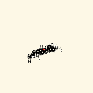 C[C@H]1CC[C@](C)(C(=O)NC(=O)[C@@]2(C)CC[C@H](C)[C@@H]3c4cc(NC(=O)[C@@H](N)Cc5c[nH]cn5)ccc4CC[C@H]32)[C@@H]2CCc3ccc(N)cc3[C@H]21